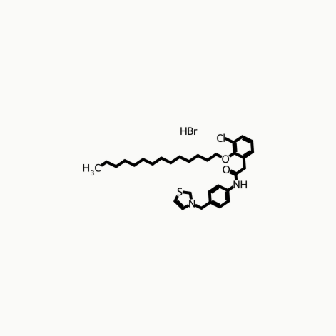 Br.CCCCCCCCCCCCCCOc1c(Cl)cccc1CC(=O)Nc1ccc(CN2C=CSC2)cc1